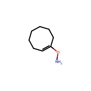 NOC1=CCCCCCC1